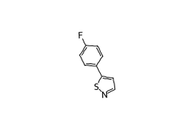 Fc1ccc(-c2ccns2)cc1